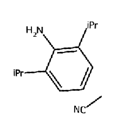 CC#N.CC(C)c1cccc(C(C)C)c1N